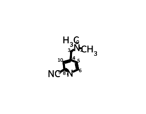 CN(C)Cc1ccnc(C#N)c1